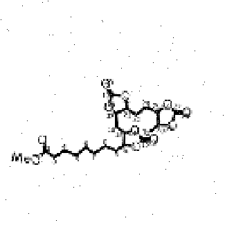 COC(=O)CCCCCCCC1OC(=O)OC1CC1OC(=O)OC1CCC1OC(=O)OC1C